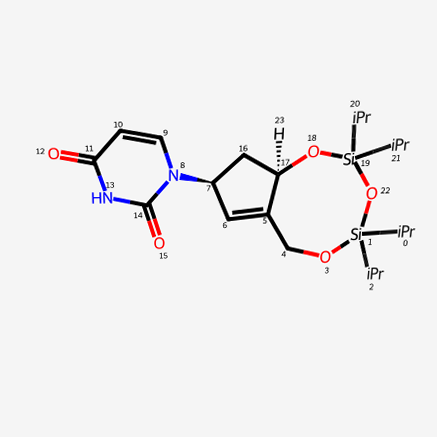 CC(C)[Si]1(C(C)C)OCC2=C[C@@H](n3ccc(=O)[nH]c3=O)C[C@H]2O[Si](C(C)C)(C(C)C)O1